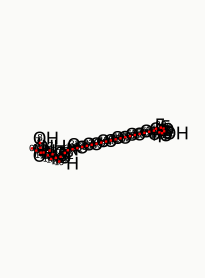 CCCN(CCCCO)C(=O)C1=Cc2ccc(-c3cccc(S(=O)(=O)N4CC(CNC(=O)CCOCCOCCOCCOCCOCCOCCOCCOCCOCCOCCC(=O)Oc5c(F)c(F)c(S(=O)(=O)O)c(F)c5F)C4)c3)cc2N=C(N)C1